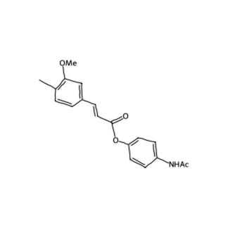 COc1cc(/C=C/C(=O)Oc2ccc(NC(C)=O)cc2)ccc1C